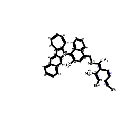 CC\C=C/C=C\C(=C(/C)NCc1cc(C)c(-n2c3c(c4cc5ccccc5cc42)CC=CC=C3)c2ccccc12)C(\C)=C\CC